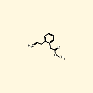 C=CCc1ccccc1CC(=O)OC